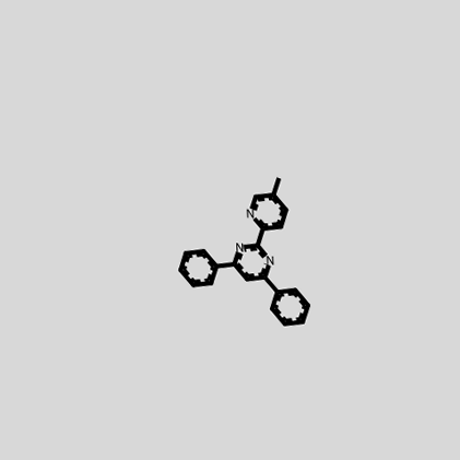 Cc1ccc(-c2nc(-c3ccccc3)cc(-c3ccccc3)n2)nc1